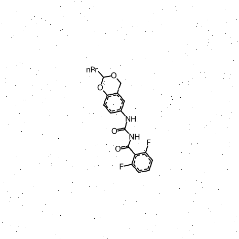 CCCC1OCc2cc(NC(=O)NC(=O)c3c(F)cccc3F)ccc2O1